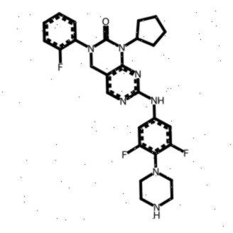 O=C1N(c2ccccc2F)Cc2cnc(Nc3cc(F)c(N4CCNCC4)c(F)c3)nc2N1C1CCCC1